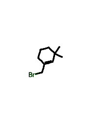 CC1(C)C=C(CBr)CCC1